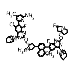 Cc1cc(N)nc(-c2c(Cl)cc3c(N4CC5CCC(C4)N5)nc(OC[C@@H]4CC(c5ccc(-c6c(Cl)cc7c(N8CC9CCC(C8)N9)nc(OC[C@@]89CCCN8C[C@H](F)C9)nc7c6F)c6c(C)cccc56)CN4C)nc3c2F)c1